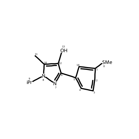 CSc1cccc(-c2nn(C(C)C)c(C)c2O)c1